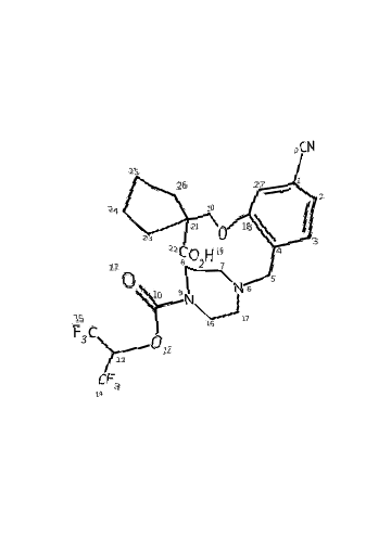 N#Cc1ccc(CN2CCN(C(=O)OC(C(F)(F)F)C(F)(F)F)CC2)c(OCC2(C(=O)O)CCCC2)c1